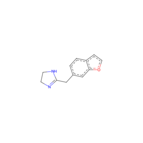 c1cc2ccc(CC3=NCCN3)cc2o1